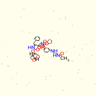 CC(=O)NCCNc1cccc(S(=O)(=O)N(C[C@H](O)[C@H](Cc2ccccc2)NC(=O)O[C@H]2CO[C@H]3OCC[C@H]32)OC2CCCC2)c1